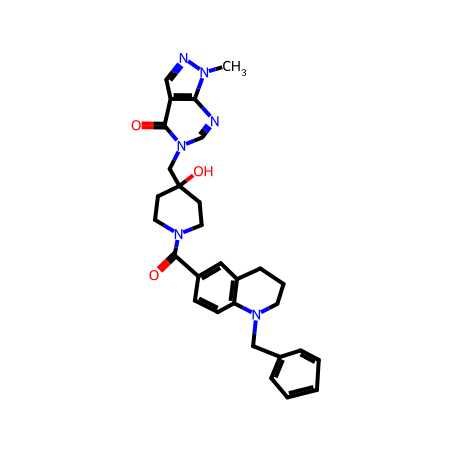 Cn1ncc2c(=O)n(CC3(O)CCN(C(=O)c4ccc5c(c4)CCCN5Cc4ccccc4)CC3)cnc21